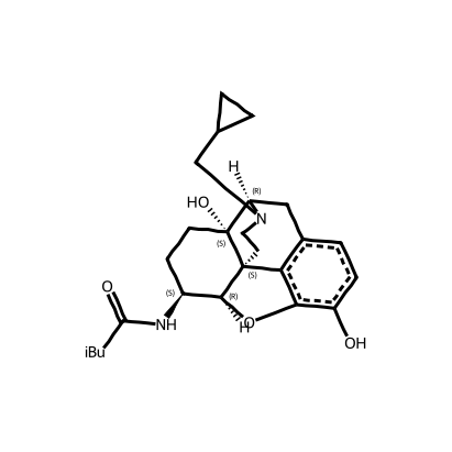 CCC(C)C(=O)N[C@H]1CC[C@@]2(O)[C@H]3Cc4ccc(O)c5c4[C@@]2(CCN3CC2CC2)[C@H]1O5